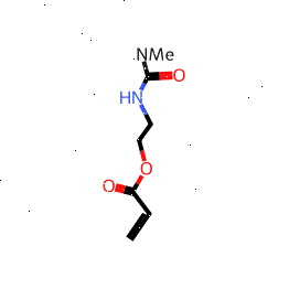 C=CC(=O)OCCNC(=O)NC